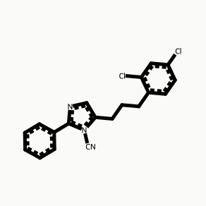 N#Cn1c(CCCc2ccc(Cl)cc2Cl)cnc1-c1ccccc1